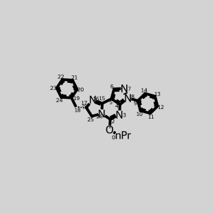 CCCOC1=Nc2c(cnn2-c2ccccc2)C2=N[C@@H](Cc3ccccc3)CN12